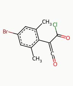 Cc1cc(Br)cc(C)c1C(=C=O)C(=O)Cl